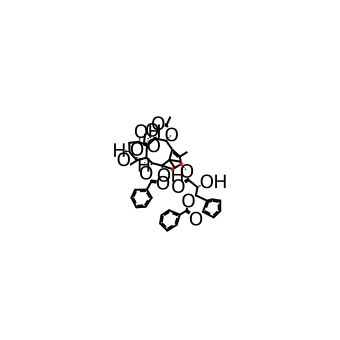 CC(=O)O[C@H]1C(=O)[C@]2(C)[C@@H](O)C[C@H]3OC[C@]3(OC(C)=O)[C@@H]2[C@@H](OC(=O)c2ccccc2)[C@]2(O)C[C@@H](OC(=O)[C@H](O)[C@@H](OC(=O)c3ccccc3)c3ccccc3)C(C)=C1C2(C)C